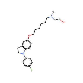 CCN(CCO)CCCCCCOc1ccc2c(c1)CCN2c1ccc(F)cc1